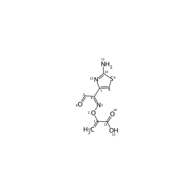 C=C(ON=C([C]=O)c1csc(N)n1)C(=O)O